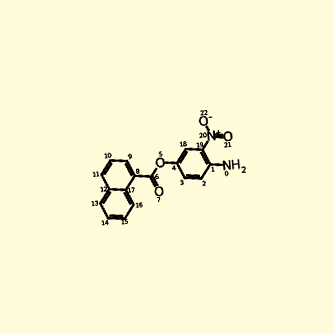 Nc1ccc(OC(=O)c2cccc3ccccc23)cc1[N+](=O)[O-]